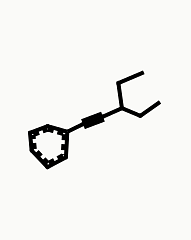 CCC(C#Cc1ccccc1)CC